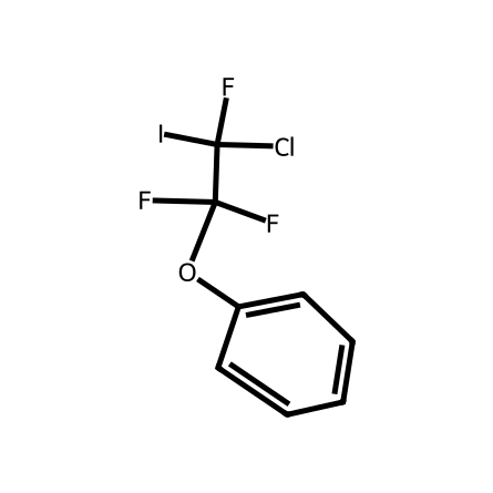 FC(Cl)(I)C(F)(F)Oc1ccccc1